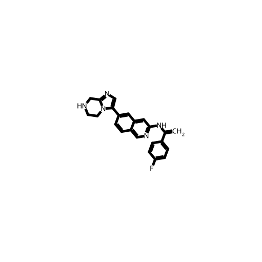 C=C(Nc1cc2cc(-c3cnc4n3CCNC4)ccc2cn1)c1ccc(F)cc1